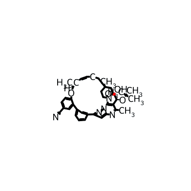 Cc1nc2cc3nn2c(c1[C@H](OC(C)(C)C)C(=O)O)N1CCC(C)(CCC=CC[C@H](C)Oc2ccc(C#N)cc2-c2cccc-3c2)CC1